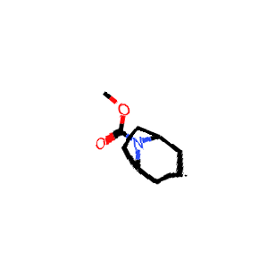 COC(=O)N1C2C[CH]CC1CC2